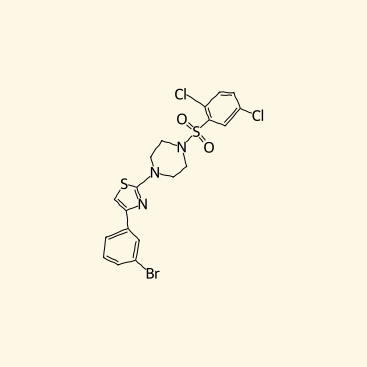 O=S(=O)(c1cc(Cl)ccc1Cl)N1CCN(c2nc(-c3cccc(Br)c3)cs2)CC1